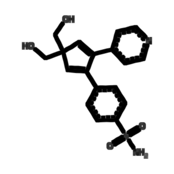 NS(=O)(=O)c1ccc(C2=CC(CO)(CO)C=C2c2ccncc2)cc1